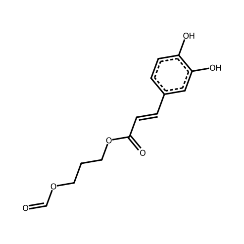 O=COCCCOC(=O)/C=C/c1ccc(O)c(O)c1